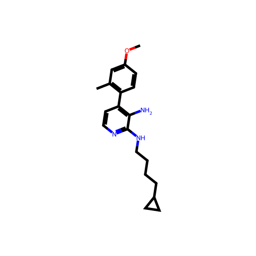 COc1ccc(-c2ccnc(NCCCCC3CC3)c2N)c(C)c1